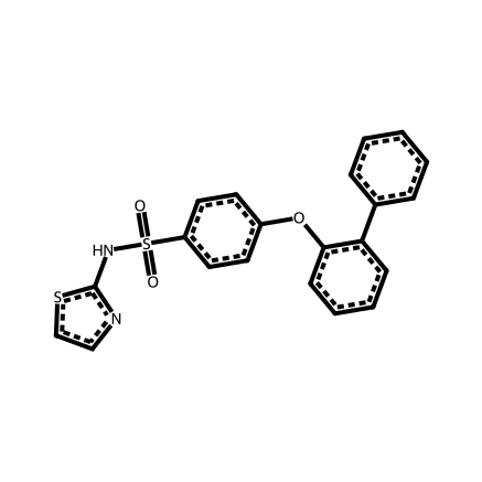 O=S(=O)(Nc1nccs1)c1ccc(Oc2ccccc2-c2ccccc2)cc1